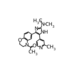 CC(=O)N1CCOc2ccc(-c3nc(N(C)C)[nH]c3-c3ccnc(C)c3)cc21